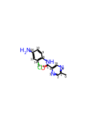 Cc1cnc(C(=O)Nc2ccc(N)cc2Cl)cn1